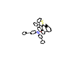 c1ccc(-c2ccc(N(c3ccc(-c4ccccc4)cc3)c3ccc(C4(c5ccccc5)c5ccccc5Sc5c4c4ccccc4c4ccccc54)cc3)cc2)cc1